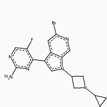 Nc1ncc(F)c(-c2cn(C3CN(C4CC4)C3)c3cnc(Br)cc23)n1